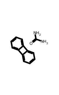 NC(N)=O.c1ccc2c(c1)-c1ccccc1-2